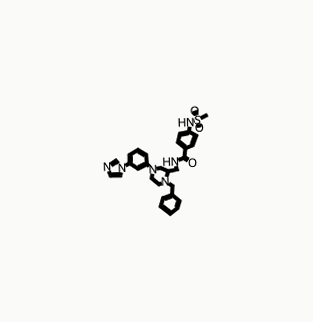 CS(=O)(=O)Nc1ccc(C(=O)NCC2CN(c3cccc(-n4ccnc4)c3)CCN2Cc2ccccc2)cc1